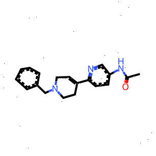 CC(=O)Nc1ccc(C2=CCN(Cc3ccccc3)CC2)nc1